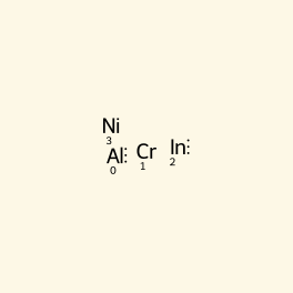 [Al].[Cr].[In].[Ni]